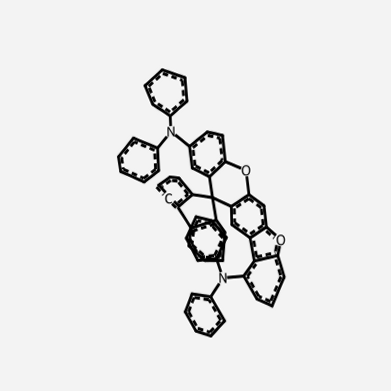 c1ccc(N(c2ccccc2)c2ccc3c(c2)C2(c4cc5c(cc4O3)oc3cccc(N(c4ccccc4)c4ccccc4)c35)c3ccccc3-c3ccccc32)cc1